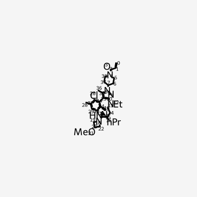 C=CC(=O)N1CCC(n2nc(N(CC)CCC(CCC)CN3CC(OC)C3)c(-c3c(Cl)c(C)cc4[nH]ncc34)c2C)CC1